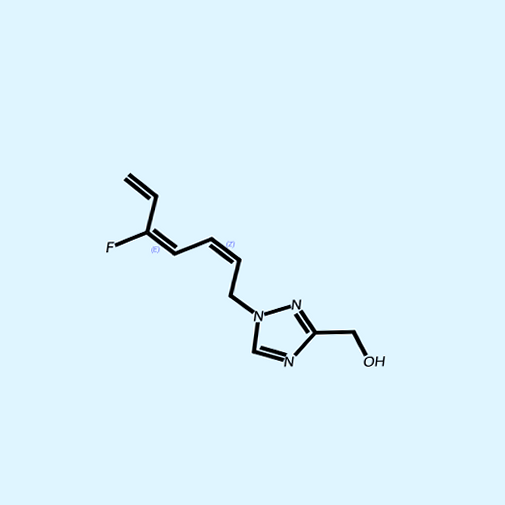 C=C/C(F)=C\C=C/Cn1cnc(CO)n1